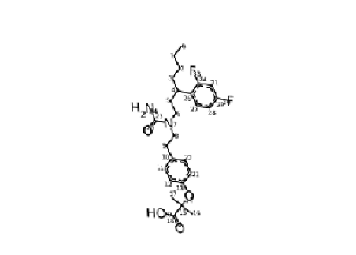 CCCCC(CCN(CCc1ccc(OC(C)(C)C(=O)O)cc1)C(N)=O)c1ccc(F)cc1F